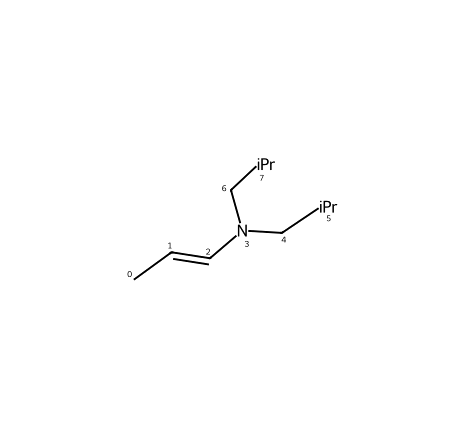 C/C=C/N(CC(C)C)CC(C)C